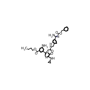 CCCCOC(=O)c1cc(N)cc(-c2cnc(NC3CC3)c(=O)n2CC(=O)NCc2ccc(/C(N)=N/C(=O)OCc3ccccc3)cc2)c1